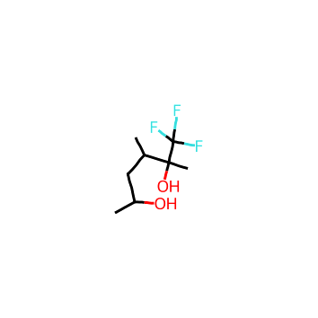 CC(O)CC(C)C(C)(O)C(F)(F)F